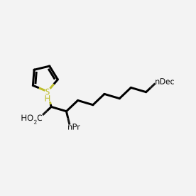 CCCCCCCCCCCCCCCCC(CCC)C(C(=O)O)[SH]1C=CC=C1